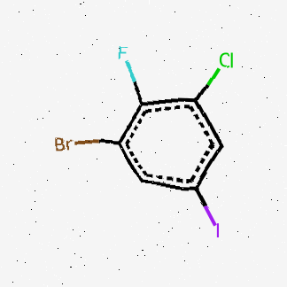 Fc1c(Cl)cc(I)cc1Br